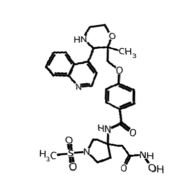 CC1(COc2ccc(C(=O)NC3(CC(=O)NO)CCN(S(C)(=O)=O)C3)cc2)OCCNC1c1ccnc2ccccc12